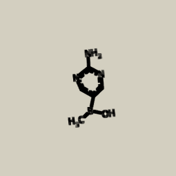 CB(O)c1cnc(N)nc1